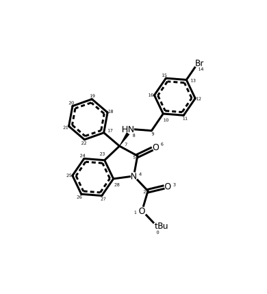 CC(C)(C)OC(=O)N1C(=O)[C@@](NCc2ccc(Br)cc2)(c2ccccc2)c2ccccc21